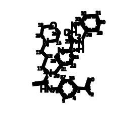 C=C(C)c1ccc(NC(=C)N(CCCN2CCOCC2)Cc2ccc(C(=O)Nc3ccccc3N)nc2)cc1